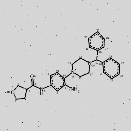 Nc1cc(NC(=O)C2CCOC2)ccc1N1CCN(C(c2ccccc2)c2ccccc2)CC1